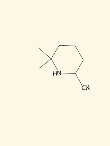 CC1(C)CCCC(C#N)N1